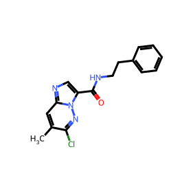 Cc1cc2ncc(C(=O)NCCc3ccccc3)n2nc1Cl